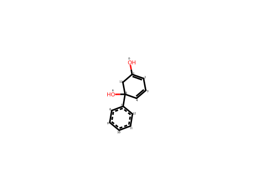 OC1=CC=CC(O)(c2ccccc2)C1